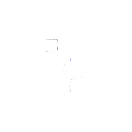 CCCCC(CC)CNC1CCC1